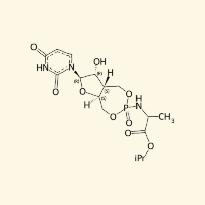 CC(C)OC(=O)C(C)NP1(=O)OC[C@H]2[C@@H](O)[C@H](n3ccc(=O)[nH]c3=O)O[C@@H]2CO1